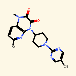 CC(=O)c1ccc2c(n1)n(C1CCN(c3ncc(C#N)cn3)CC1)c(=O)c(=O)n2C